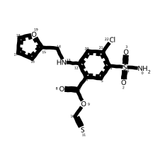 NS(=O)(=O)c1cc(C(=O)OC=S)c(NCc2ccco2)cc1Cl